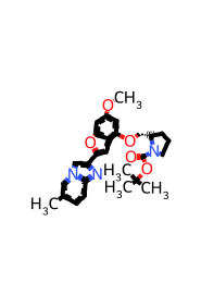 COc1cc(OC[C@@H]2CCCN2C(=O)OC(C)(C)C)c2cc(-c3cn4cc(C)ccc4n3)oc2c1